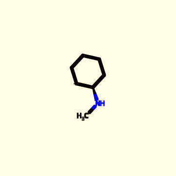 CN[C@H]1[CH]CCCC1